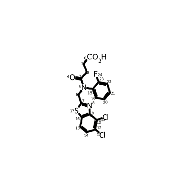 O=C(O)CCC(=O)N(Cc1nc2c(Cl)c(Cl)ccc2s1)c1ccccc1F